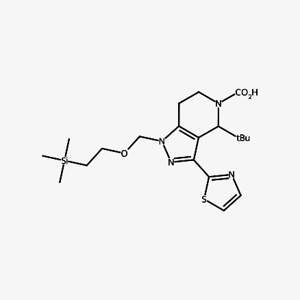 CC(C)(C)C1c2c(-c3nccs3)nn(COCC[Si](C)(C)C)c2CCN1C(=O)O